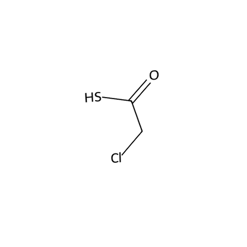 O=C(S)CCl